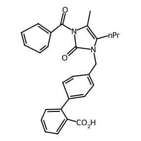 CCCc1c(C)n(C(=O)c2ccccc2)c(=O)n1Cc1ccc(-c2ccccc2C(=O)O)cc1